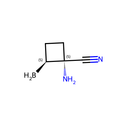 B[C@H]1CC[C@@]1(N)C#N